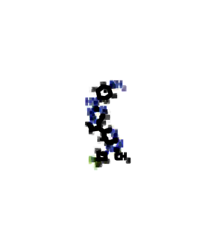 Cc1nc2ncc(-c3ccn4nc(NC5CCC(N)CC5)ncc34)cc2n1C1CC(F)(F)C1